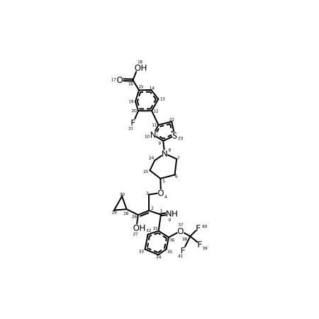 N=C(/C(COC1CCN(c2nc(-c3ccc(C(=O)O)cc3F)cs2)CC1)=C(\O)C1CC1)c1ccccc1OC(F)(F)F